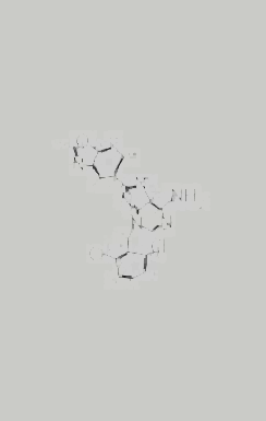 Nc1ncn(Cc2c(Cl)cccc2Cl)c2nc(-c3ccc4ocnc4c3)nc1-2